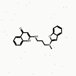 CN(CCCNc1cc(=O)c2ccccc2[nH]1)c1cc2ccccc2o1